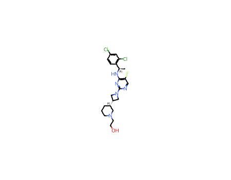 C[C@@H](Nc1nc(N2CC([C@H]3CCCN(CCO)C3)C2)ncc1F)c1ccc(Cl)cc1Cl